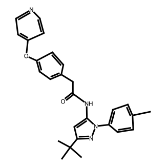 Cc1ccc(-n2nc(C(C)(C)C)cc2NC(=O)Cc2ccc(Oc3ccncc3)cc2)cc1